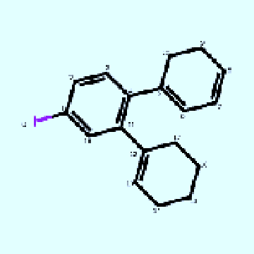 Ic1ccc(C2=CC=CCC2)c(C2=CCCCC2)c1